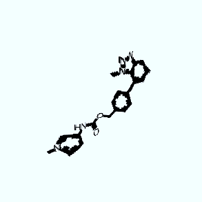 Cn1ccc(NC(=O)OCc2ccc(-c3cccc4nnn(C)c34)cc2)c1